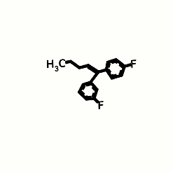 CCC/C=C(/c1ccc(F)cc1)c1cccc(F)c1